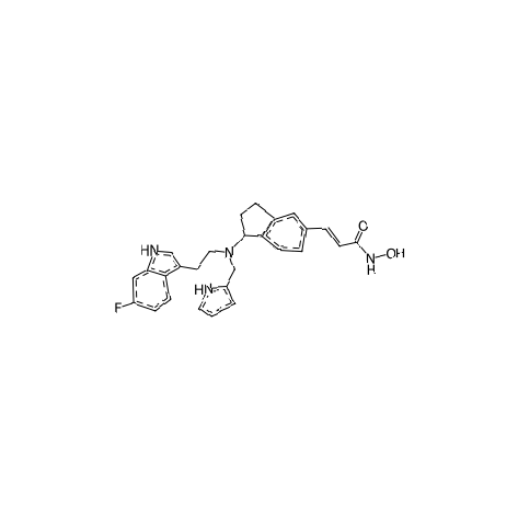 O=C(/C=C/c1ccc2c(c1)CCC2N(CCc1c[nH]c2cc(F)ccc12)Cc1ccc[nH]1)NO